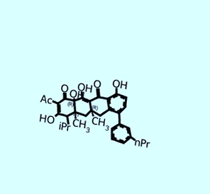 CCCc1cccc(-c2ccc(O)c3c2C[C@]2(C)C[C@]4(C)C(C(C)C)C(O)=C(C(C)=O)C(=O)[C@]4(O)C(O)=C2C3=O)c1